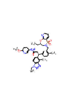 CC[C@@H]1CN(Cc2cc([C@H](CC(=O)Nc3ccc(OC)nc3)c3ccc4c(nnn4CC)c3C)ccc2C)S(=O)(=O)c2cccnc2O1